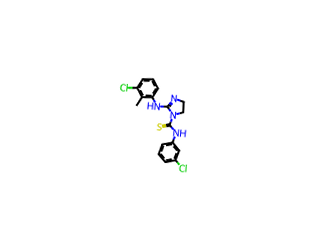 Cc1c(Cl)cccc1NC1=NCCN1C(=S)Nc1cccc(Cl)c1